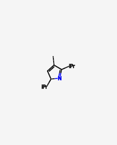 CC1=CC(C(C)C)N=C1C(C)C